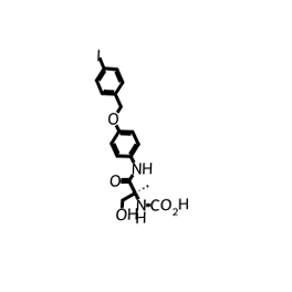 C[C@@](CO)(NC(=O)O)C(=O)Nc1ccc(OCc2ccc(I)cc2)cc1